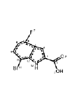 O=C(O)c1cc2c(F)ccc(Br)c2[nH]1